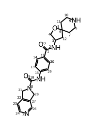 O=C(NC1COC2(CCNCC2)C1)c1ccc(NC(=O)N2Cc3ccncc3C2)cc1